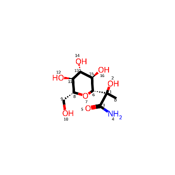 CC(O)(C(N)=O)[C@@H]1O[C@H](CO)[C@@H](O)[C@H](O)[C@H]1O